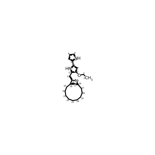 CCOc1cc(-c2ccc[nH]2)[nH]c1C=C1N=C2C=C1CCCCCCCCC2